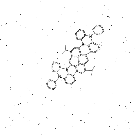 CC(C)c1cc2c3c(cc4c(C(C)C)cc5c6c(cc1c3c46)B1c3ccccc3N(c3ccccc3)c3cccc-5c31)-c1cccc3c1B2c1ccccc1N3c1ccccc1